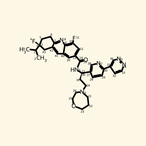 CC(C)[C@]1(F)CCc2nc3c(F)cc(C(=O)N[C@H](CCN4CCCOCC4)c4ccc(-c5ccnnc5)nc4)cc3cc2C1